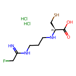 Cl.Cl.N=C(CF)NCCCN[C@@H](CS)C(=O)O